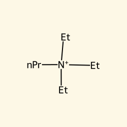 CCC[N+](CC)(CC)CC